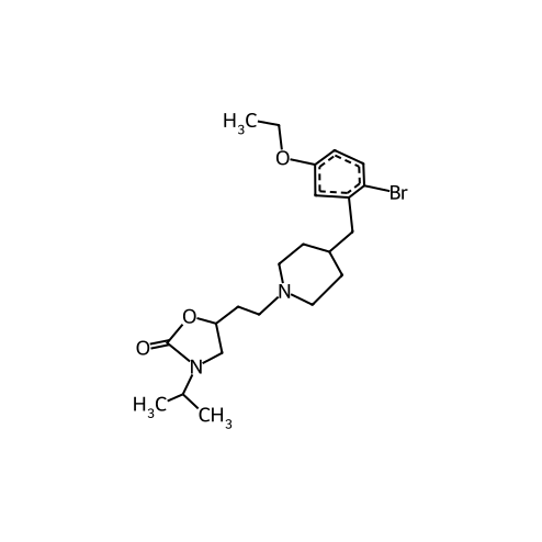 CCOc1ccc(Br)c(CC2CCN(CCC3CN(C(C)C)C(=O)O3)CC2)c1